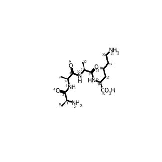 C[C@H](N)C(=O)N[C@@H](C)C(=O)N[C@@H](C)C(=O)N[C@@H](CCCCN)C(=O)O